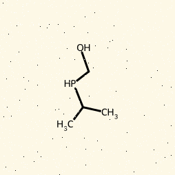 CC(C)PCO